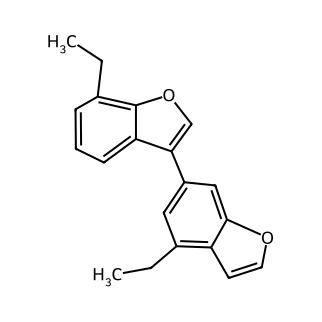 CCc1cc(-c2coc3c(CC)cccc23)cc2occc12